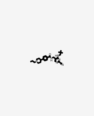 CCCN1CCC(c2ccc(C(=O)NCc3cnc(C#N)nc3NCC(C)(C)C)cc2)CC1